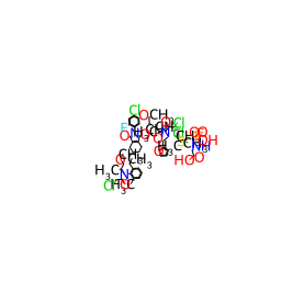 C#CC(C)Oc1cc(N2C(=O)C3=C(CCCC3)C2=O)c(F)cc1Cl.CC1(C)OC(c2ccco2)CN1C(=O)C(Cl)Cl.CCc1cccc(C)c1N(C(=O)CCl)C(C)COC.C[S+](C)C.O=C(O)CNCP(=O)([O-])O